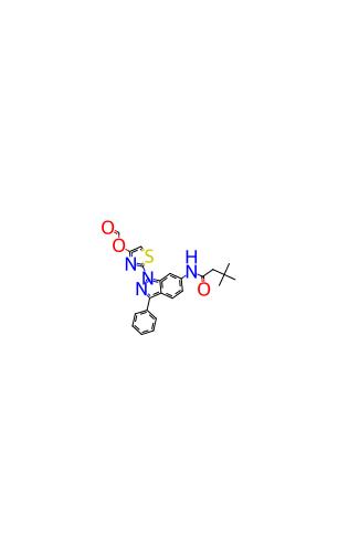 CC(C)(C)CC(=O)Nc1ccc2c(-c3ccccc3)nn(-c3nc(OC=O)cs3)c2c1